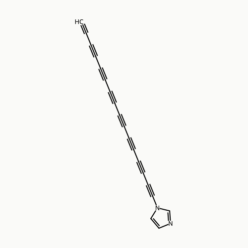 C#CC#CC#CC#CC#CC#CC#CC#Cn1ccnc1